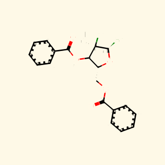 C[C@@]1(F)C(OC(=O)c2ccccc2)[C@@H](COC(=O)c2ccccc2)O[C@@H]1Br